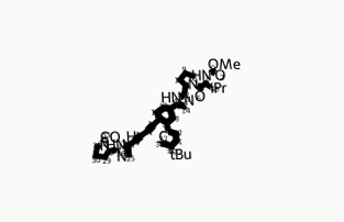 COC(=O)NC(C(=O)N1CCCC1c1ncc(-c2ccc(C#CC#Cc3cnc(C4CCCN4C(=O)O)[nH]3)c(-c3ccc(C(C)(C)C)cc3)c2)[nH]1)C(C)C